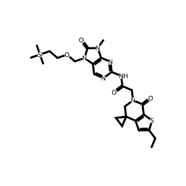 CCc1cc2c(s1)C(=O)N(CC(=O)Nc1ncc3c(n1)n(C)c(=O)n3COCC[Si](C)(C)C)CC21CC1